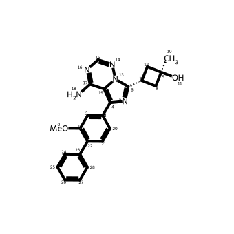 COc1cc(-c2nc([C@H]3C[C@](C)(O)C3)n3ncnc(N)c23)ccc1-c1[c]cccc1